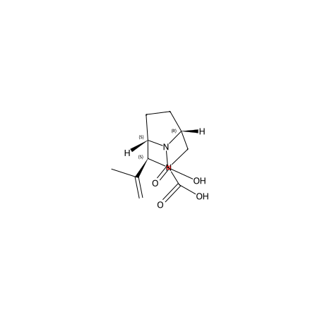 C=C(C)[C@H]1[C@@H]2CC[C@H](CN1C(=O)O)N2C(=O)O